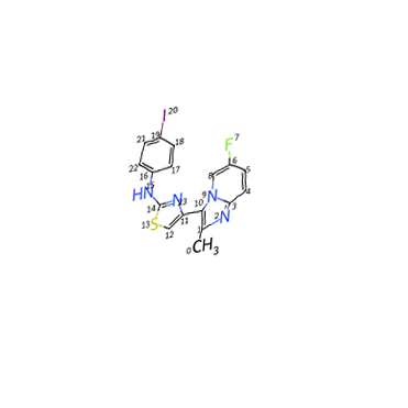 Cc1nc2ccc(F)cn2c1-c1csc(Nc2ccc(I)cc2)n1